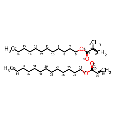 C=C(C)C(=O)OCCCCCCCCCCCC.C=CC(=O)OCCCCCCCCCCCCC